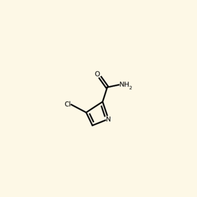 NC(=O)C1=NC=C1Cl